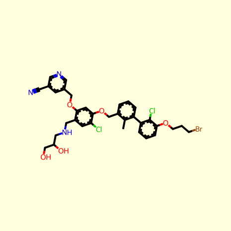 Cc1c(COc2cc(OCc3cncc(C#N)c3)c(CNCC(O)CO)cc2Cl)cccc1-c1cccc(OCCCBr)c1Cl